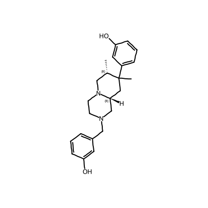 C[C@H]1CN2CCN(Cc3cccc(O)c3)C[C@H]2CC1(C)c1cccc(O)c1